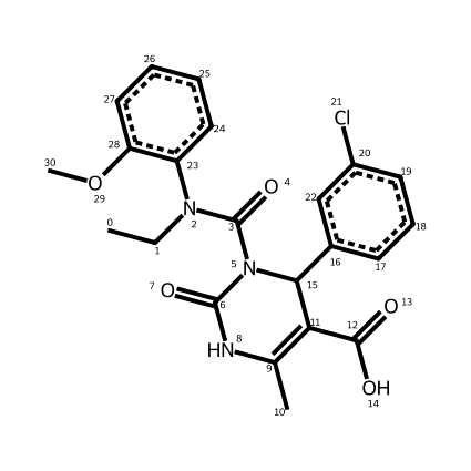 CCN(C(=O)N1C(=O)NC(C)=C(C(=O)O)C1c1cccc(Cl)c1)c1ccccc1OC